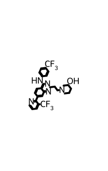 OC1CCCN(CCc2nc(Nc3ccc(C(F)(F)F)cc3)c3ccc(-c4ncccc4C(F)(F)F)cc3n2)C1